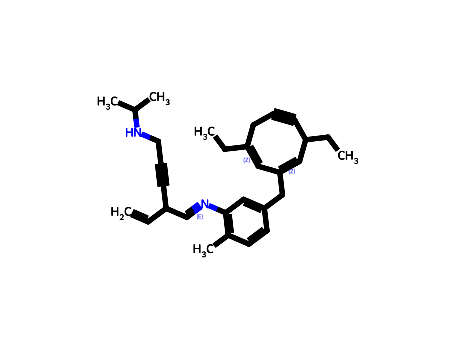 C=CC(C#CCNC(C)C)/C=N/c1cc(CC2=C/C(CC)C#CC/C(CC)=C\2)ccc1C